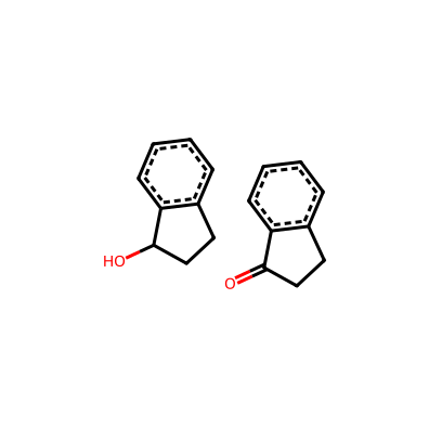 O=C1CCc2ccccc21.OC1CCc2ccccc21